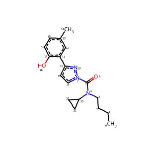 CCCCN(C(=O)n1ccc(-c2cc(C)ccc2O)n1)C1CC1